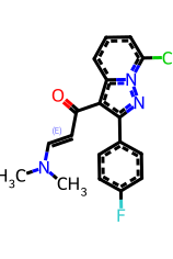 CN(C)/C=C/C(=O)c1c(-c2ccc(F)cc2)nn2c(Cl)cccc12